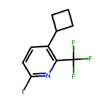 FC(F)(F)c1nc(I)ccc1C1CCC1